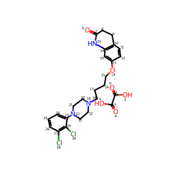 O=C(O)C(=O)O.O=C1CCc2ccc(OCCCCN3CCN(c4cccc(Cl)c4Cl)CC3)cc2N1